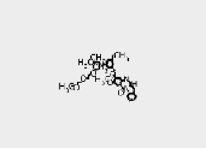 CCc1cc(COc2cc3c(cc2OC)C(=O)N2c4ccccc4C[C@H]2C=N3)cc(N(CCOCCOCCOC)CC(C)(C)C)c1